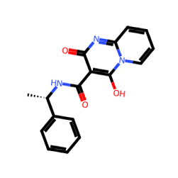 C[C@H](NC(=O)c1c(O)n2ccccc2nc1=O)c1ccccc1